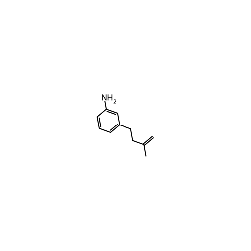 C=C(C)CCc1cccc(N)c1